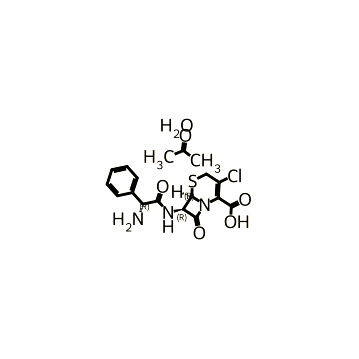 CC(C)=O.N[C@@H](C(=O)N[C@@H]1C(=O)N2C(C(=O)O)=C(Cl)CS[C@H]12)c1ccccc1.O